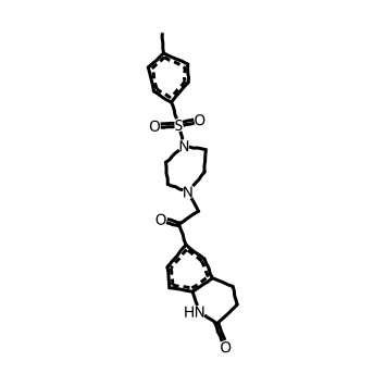 Cc1ccc(S(=O)(=O)N2CCN(CC(=O)c3ccc4c(c3)CCC(=O)N4)CC2)cc1